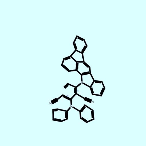 C=C/C(=C(C#N)\C(=C\C#N)N(c1ccccc1)c1ccccc1)n1c2ccccc2c2cc3c4c(cccc4c21)-c1ccccc1-3